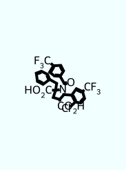 O=C(O)C1CC(Cc2ccccc2)(C(=O)O)N(C(=O)c2ccc(C(F)(F)F)cc2)C1c1cc(C(F)(F)F)ccc1Cl